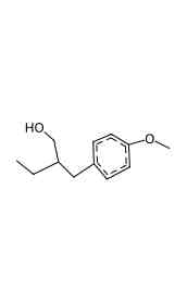 CCC(CO)Cc1ccc(OC)cc1